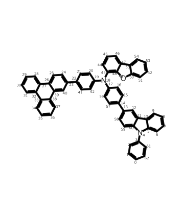 c1ccc(-n2c3ccccc3c3cc(-c4ccc(N(c5ccc(-c6ccc7c8ccccc8c8ccccc8c7c6)cc5)c5cccc6c5oc5ccccc56)cc4)ccc32)cc1